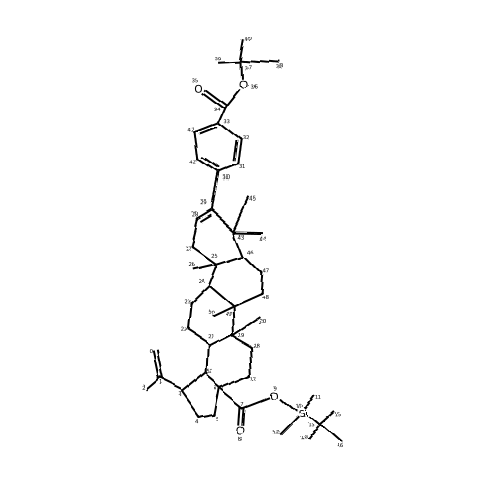 C=C(C)C1CCC2(C(=O)O[Si](C)(C)C(C)(C)C)CCC3(C)C(CCC4C5(C)CC=C(c6ccc(C(=O)OC(C)(C)C)cc6)C(C)(C)C5CCC43C)C12